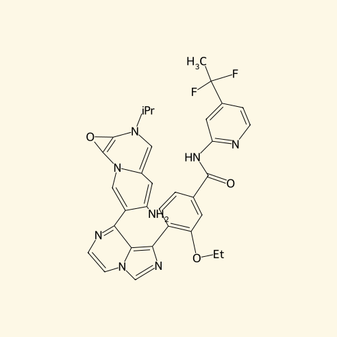 CCOc1cc(C(=O)Nc2cc(C(C)(F)F)ccn2)ccc1-c1ncn2ccnc(-c3cn4c5oc=5n(C(C)C)cc4cc3N)c12